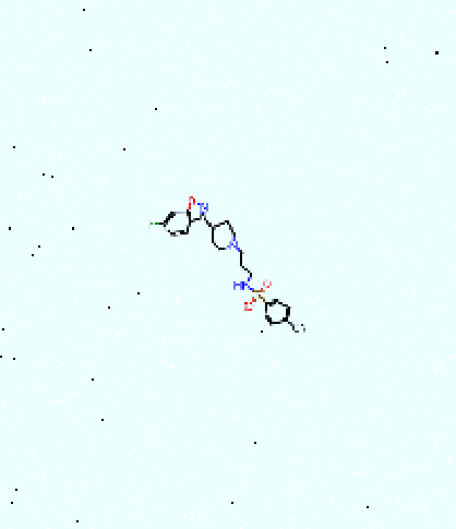 N#Cc1ccc(S(=O)(=O)NCCCN2CCC(c3noc4cc(F)ccc34)CC2)cc1